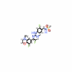 C=N/C(=N\C(=C(/C)F)c1cc(F)c2c(c1)N(C(C)C)CCO2)Nc1ccc(CNS(C)(=O)=O)c(F)c1